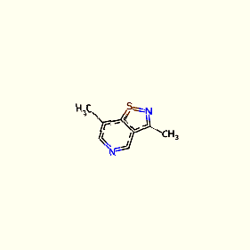 Cc1nsc2c(C)cncc12